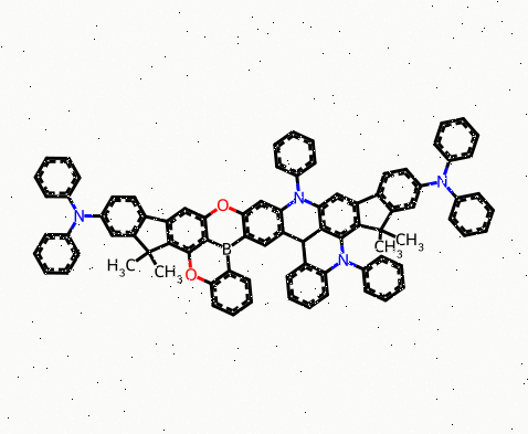 CC1(C)c2cc(N(c3ccccc3)c3ccccc3)ccc2-c2cc3c4c(c21)Oc1ccccc1B4c1cc2c(cc1O3)N(c1ccccc1)c1cc3c(c4c1C2c1ccccc1N4c1ccccc1)C(C)(C)c1cc(N(c2ccccc2)c2ccccc2)ccc1-3